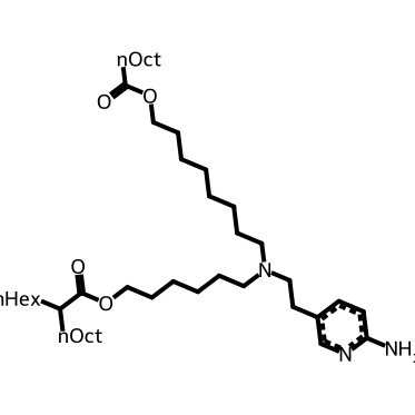 CCCCCCCCC(=O)OCCCCCCCCN(CCCCCCOC(=O)C(CCCCCC)CCCCCCCC)CCc1ccc(N)nc1